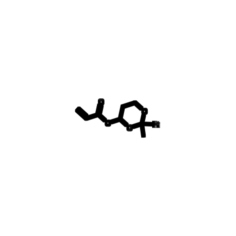 C=CC(=O)OC1CCOC(C)(CC)O1